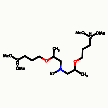 CCN(CC(C)OCCC[SiH](OC)OC)CC(C)OCCC[SiH](OC)OC